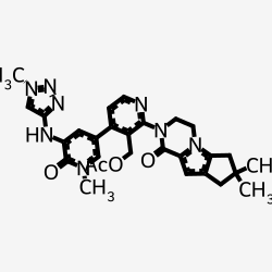 CC(=O)OCc1c(-c2cc(Nc3cn(C)nn3)c(=O)n(C)c2)ccnc1N1CCn2c(cc3c2CC(C)(C)C3)C1=O